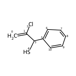 C=C(Cl)C(S)c1ccccc1